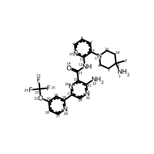 CC1(N)CCN(c2cccnc2NC(=O)c2nc(-c3cc(OC(F)(F)F)ccn3)cnc2N)CC1